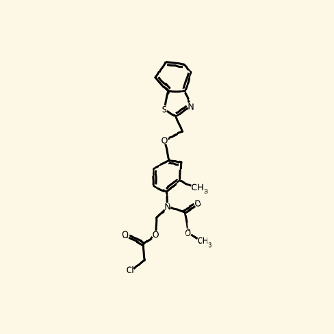 COC(=O)N(COC(=O)CCl)c1ccc(OCc2nc3ccccc3s2)cc1C